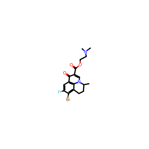 CC1CCc2c(Br)c(F)cc3c(=O)c(C(=O)OCCN(C)C)cn1c23